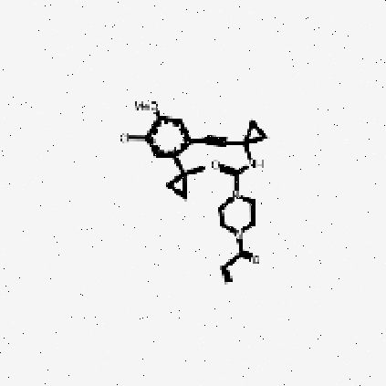 C=CC(=O)N1CCN(C(=O)NC2(C#Cc3cc(OC)c(Cl)cc3C3(C)CC3)CC2)CC1